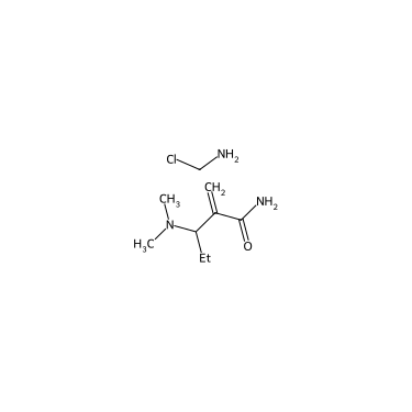 C=C(C(N)=O)C(CC)N(C)C.NCCl